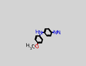 COc1ccc(Nc2ccc([N+]#N)cc2)cc1